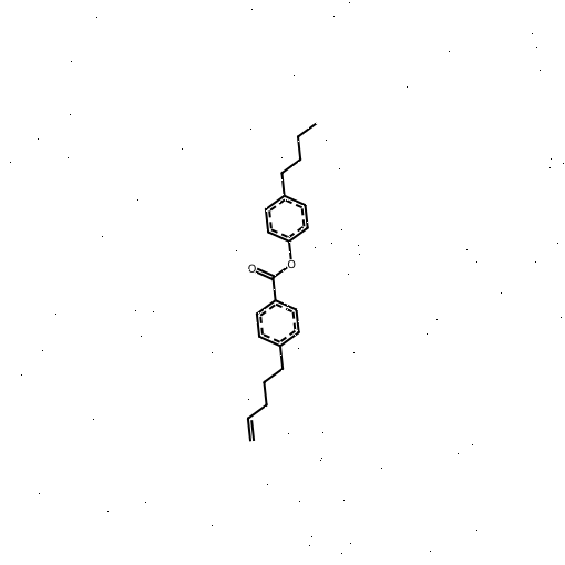 C=CCCCc1ccc(C(=O)Oc2ccc(CCCC)cc2)cc1